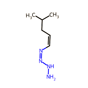 CC(C)C/C=C\N=N/NN